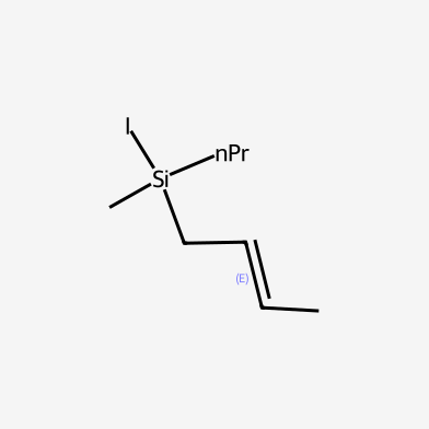 C/C=C/C[Si](C)(I)CCC